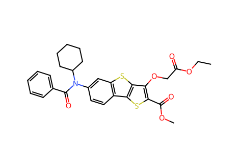 CCOC(=O)COc1c(C(=O)OC)sc2c1sc1cc(N(C(=O)c3ccccc3)C3CCCCC3)ccc12